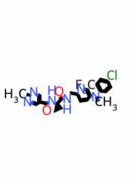 Cc1ncc(C(=O)NC2(C(=O)NCc3ccc(N(C)c4ccc(Cl)cc4C(F)(F)F)cn3)CC2)cn1